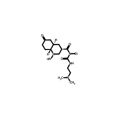 CCCN1C[C@H](C(=O)N(CC)C(=O)NCCN(C)C)C[C@@H]2CC(=O)CC[C@H]21